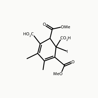 COC(=O)C1=C(C)C(C)=C(C(=O)O)C(C(=O)OC)C1(I)C(=O)O